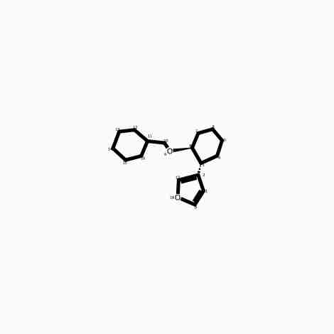 c1cc([C@H]2CCCC[C@@H]2OCC2CCCCC2)co1